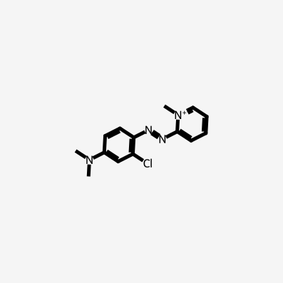 CN(C)c1ccc(N=Nc2cccc[n+]2C)c(Cl)c1